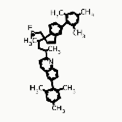 Cc1cc(C)c(-c2ccc3c(c2)C=CC3(CB(F)F)C(C)CC(C)c2ccc3cc(-c4c(C)cc(C)cc4C)ccc3n2)c(C)c1